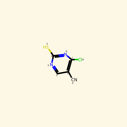 N#Cc1cnc(S)nc1Cl